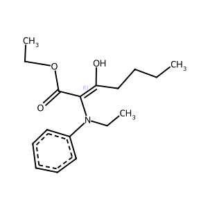 CCCC/C(O)=C(/C(=O)OCC)N(CC)c1ccccc1